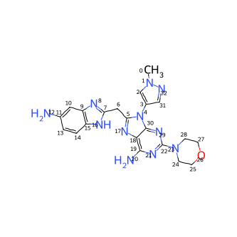 Cn1cc(-n2c(Cc3nc4cc(N)ccc4[nH]3)nc3c(N)nc(N4CCOCC4)nc32)cn1